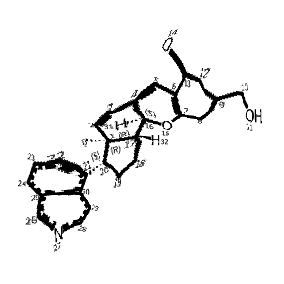 C[C@]12C=CC3=CC4=C(CC(CO)CC4=O)O[C@H]3[C@@H]1CC[C@@H]2c1cccc2cnccc12